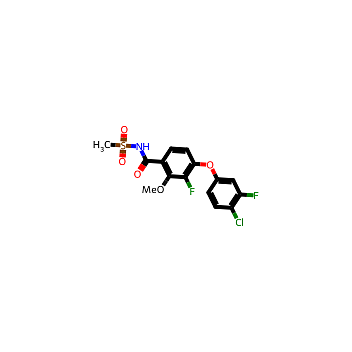 COc1c(C(=O)NS(C)(=O)=O)ccc(Oc2ccc(Cl)c(F)c2)c1F